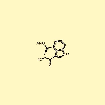 COC(=O)c1cccc2[nH]cc(C(=O)CC#N)c12